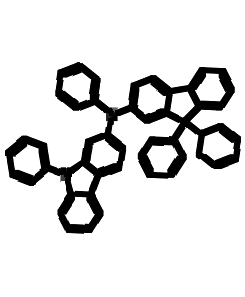 C1=CCC(C2(c3ccccc3)c3ccccc3-c3ccc(N(c4ccccc4)c4ccc5c6ccccc6n(-c6ccccc6)c5c4)cc32)C=C1